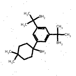 BC(C)(C)c1cc(C(B)(C)C)cc(C2(B)CCC(C)(C)CC2)c1